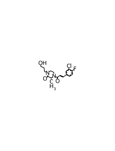 C[C@H]1C(=O)N(CCCO)CCN1C(=O)/C=C/c1ccc(F)c(Cl)c1